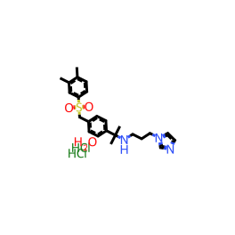 Cc1ccc(S(=O)(=O)Cc2ccc(C(C)(C)NCCCn3ccnc3)cc2)cc1C.Cl.Cl.O